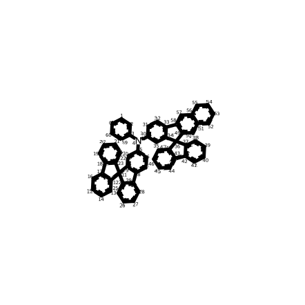 c1ccc(N(c2ccc3c(c2)C2(c4ccccc4-c4ccccc42)c2ccccc2-3)c2ccc3c(c2)C2(c4ccccc4-c4ccccc42)c2cc4ccccc4cc2-3)cc1